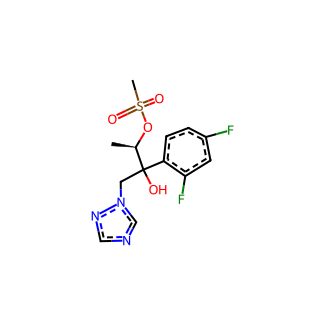 C[C@@H](OS(C)(=O)=O)C(O)(Cn1cncn1)c1ccc(F)cc1F